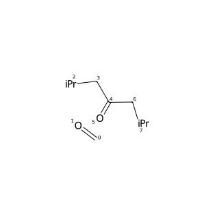 C=O.CC(C)CC(=O)CC(C)C